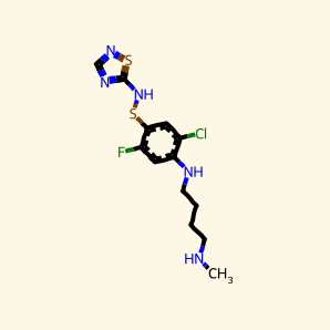 CNCCCCNc1cc(F)c(SNc2ncns2)cc1Cl